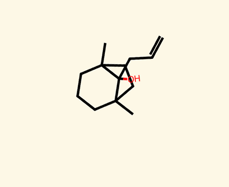 C=CCC1(O)C2(C)CCCC1(C)CC2